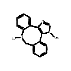 CCN1Cc2ccccc2-c2c(nnn2C(C)(C)C)-c2ccccc21